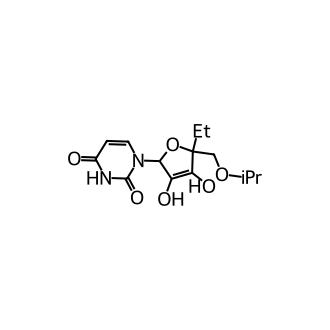 CCC1(COC(C)C)OC(n2ccc(=O)[nH]c2=O)C(O)=C1O